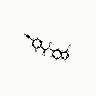 CN(C(=O)c1ccc(C#N)cn1)c1ccn2ncc(Br)c2c1